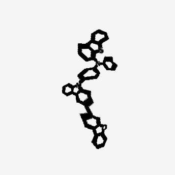 c1ccc(N(c2ccc(-n3c4ccccc4c4cc(-c5ccc6c(c5)oc5ccccc56)ccc43)cc2)c2cccc3c2sc2ccccc23)cc1